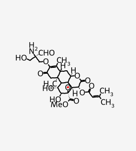 COC(=O)[C@@]12OC[C@]34C([C@@H](O)[C@@H]1O)[C@@]1(C)CC(=O)C(OC[C@@](N)(C=O)CO)=C(C)[C@@H]1C[C@H]3OC(=O)[C@H](OC(=O)C=C(C)C)[C@@H]24